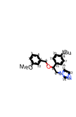 COc1cccc(COC(Cn2ccnc2)c2ccc(C(C)(C)C)cc2)c1